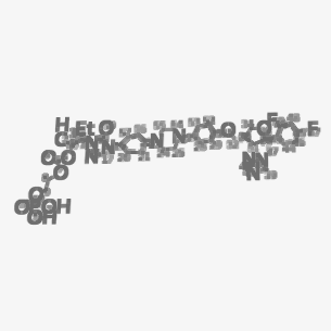 CC[C@@H]([C@H](C)OC(=O)OCCOP(=O)(O)O)n1ncn(-c2ccc(N3CCN(c4ccc(OC[C@@H]5CO[C@@](Cn6cncn6)(c6ccc(F)cc6F)C5)cc4)CC3)cc2)c1=O